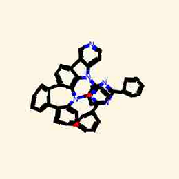 c1ccc(-c2nc(-c3ccccc3)nc(-n3c4ccncc4c4ccc5c(c43)N(c3ccccc3)c3ccccc3-c3ccccc3-5)n2)cc1